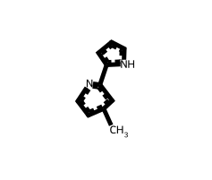 Cc1ccnc(-c2ccc[nH]2)c1